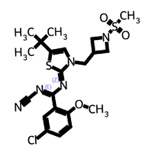 COc1ccc(Cl)cc1C(/N=c1\sc(C(C)(C)C)cn1CC1CN(S(C)(=O)=O)C1)=N\C#N